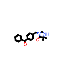 CC1(C)NCN(Cc2ccc(C(=O)c3ccccc3)cc2)C1=O